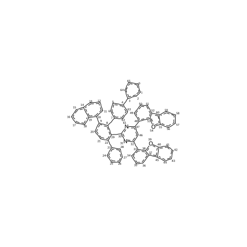 c1ccc(-c2ccc(-c3c(-c4cccc5ccccc45)ccc(-c4ccccc4)c3-c3nc(-c4cccc5c4oc4ccccc45)cc(-c4cccc5c4oc4ccccc45)n3)cc2)cc1